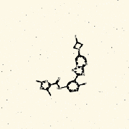 Cc1nc(C)c(C(=O)Nc2ccc(F)c(-c3nc4ncc(N5CC(F)C5)cn4n3)c2)o1